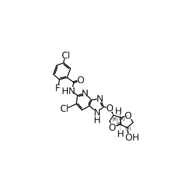 O=C(Nc1nc2nc(O[C@@H]3CO[C@H]4[C@@H]3OC[C@H]4O)[nH]c2cc1Cl)c1cc(Cl)ccc1F